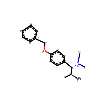 CC(C)[C@@H](C)[C@H](c1ccc(OCc2ccccc2)cc1)N(C)C